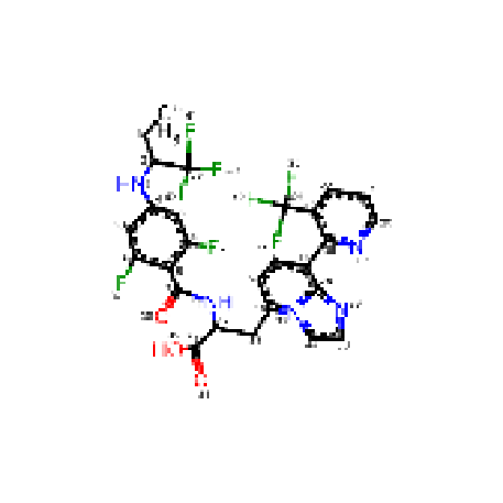 CCC(Nc1cc(F)c(C(=O)NC(Cc2ccc(-c3ncccc3C(F)(F)F)c3nccn23)C(=O)O)c(F)c1)C(F)(F)F